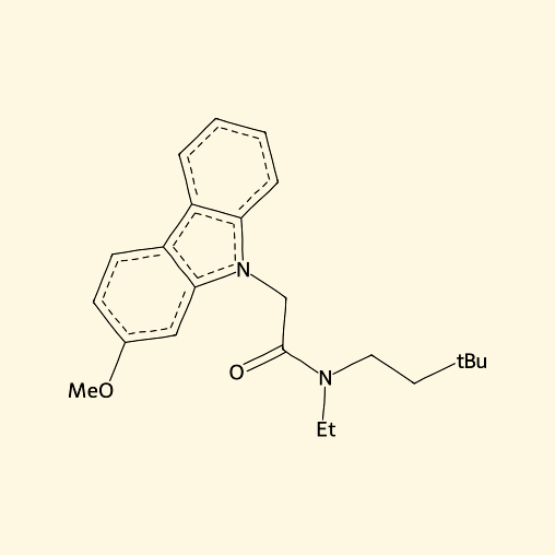 CCN(CCC(C)(C)C)C(=O)Cn1c2ccccc2c2ccc(OC)cc21